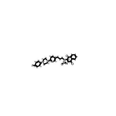 O=C1c2ccccc2C(=O)c2c1n[n+]([O-])n2CCCc1ccc(N2CCN(c3ccc(F)cc3)CC2)nc1